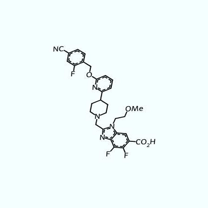 COCCn1c(CN2CCC(c3cccc(OCc4ccc(C#N)cc4F)n3)CC2)nc2c(F)c(F)c(C(=O)O)cc21